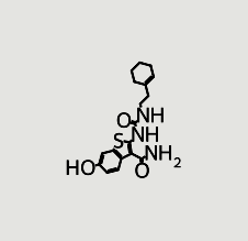 NC(=O)c1c(NC(=O)NCCC2=CCCCC2)sc2cc(O)ccc12